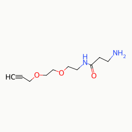 C#CCOCCOCCNC(=O)CCN